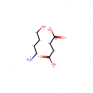 NCCCCO.O=C(O)CCC(=O)O